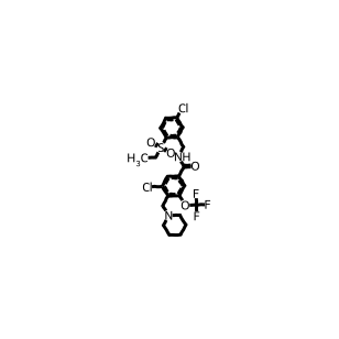 CCS(=O)(=O)c1ccc(Cl)cc1CNC(=O)c1cc(Cl)c(CN2CCCCC2)c(OC(F)(F)F)c1